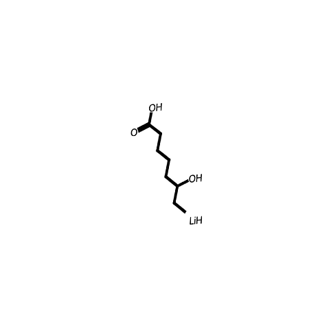 CCC(O)CCCCC(=O)O.[LiH]